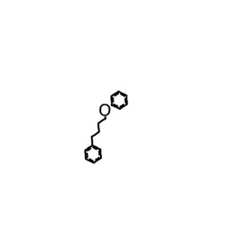 c1ccc(CCCCOc2ccccc2)cc1